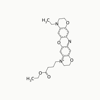 CCOC(=O)CCC[N+]1=c2cc3c(cc2OCC1)=Nc1cc2c(cc1O3)N(CC)CCO2